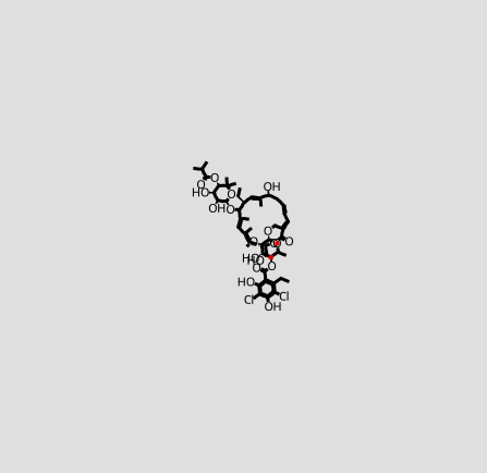 CCc1c(Cl)c(O)c(Cl)c(O)c1C(=O)O[C@@H]1C(C)O[C@@H](OC/C2=C\C=C\C[C@H](O)/C(C)=C/[C@H](CC)C(O[C@@H]3OC(C)(C)[C@@H](OC(=O)C(C)C)[C@H](O)[C@@H]3O)/C(C)=C/C(C)=C/C[C@@H]([C@@H](C)O)OC2=O)[C@@H](OC)[C@H]1O